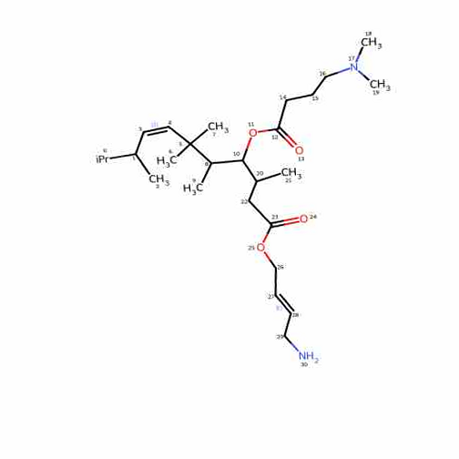 CC(C)C(C)/C=C\C(C)(C)C(C)C(OC(=O)CCCN(C)C)C(C)CC(=O)OC/C=C/CN